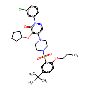 CCCOc1ccc(C(C)(C)C)cc1S(=O)(=O)N1CCN(c2cnn(-c3cccc(Cl)c3)c(=O)c2OC2CCCC2)CC1